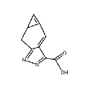 O=C(O)C1=NN=C2CC3C=C3C=C21